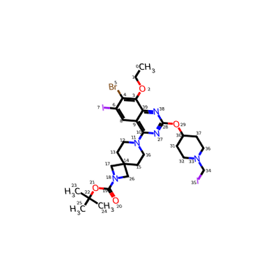 CCOc1c(Br)c(I)cc2c(N3CCC4(CC3)CN(C(=O)OC(C)(C)C)C4)nc(OC3CCN(CI)CC3)nc12